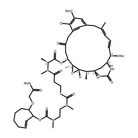 CNC(=O)COC1CCCC/C=C/C1OC(=O)N(C)CCN(C)C(=O)SCCC(=O)N(C)[C@@H](C)C(=O)O[C@H]1CC(=O)Cc2cc(cc(OC)c2Cl)C/C(C)=C/C=C/[C@@H](OC)[C@@]2(O)C[C@H](OC(=O)N2)[C@@H](C)[C@@H]2O[C@@]12C